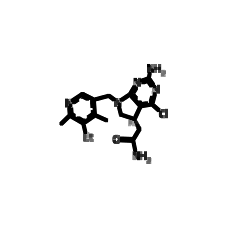 CCc1c(C)ncc(CN2C[C@H](CC(N)=O)c3c(Cl)nc(N)nc32)c1C